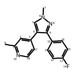 Cc1cc(-c2cn(C)nc2-c2ccc(F)cc2)ccn1